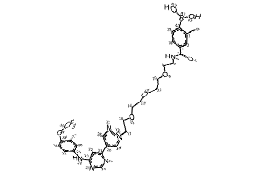 Cc1cc(C(=O)NCCOCCOCCOCCn2cc(-c3cc(Nc4ccc(OC(F)(F)F)cc4)ncn3)cn2)ccc1B(O)O